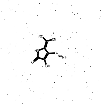 N#CC(C#N)=C1NC(=O)C(O)=C1C#N.[Na].[Na]